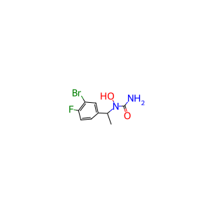 CC(c1ccc(F)c(Br)c1)N(O)C(N)=O